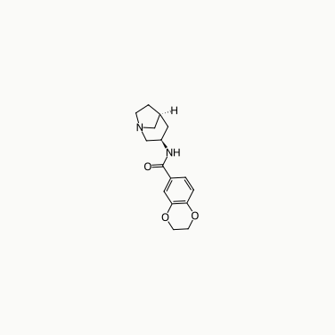 O=C(N[C@@H]1C[C@@H]2CCN(C2)C1)c1ccc2c(c1)OCCO2